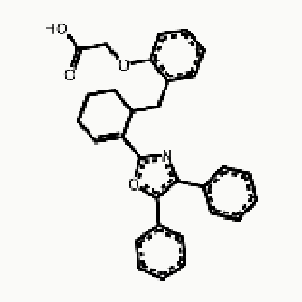 O=C(O)COc1ccccc1CC1CCCC=C1c1nc(-c2ccccc2)c(-c2ccccc2)o1